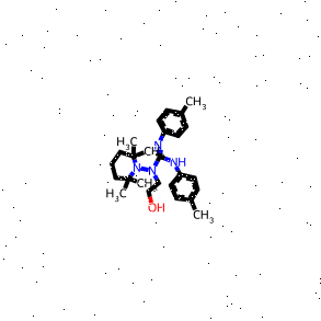 Cc1ccc(N=C(Nc2ccc(C)cc2)N(CCO)N2C(C)(C)CCCC2(C)C)cc1